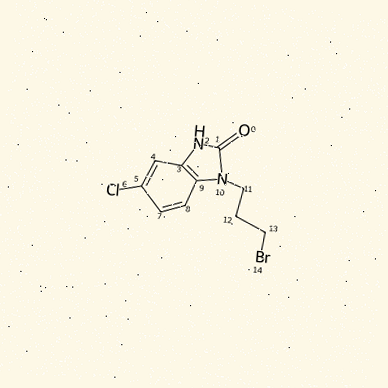 O=c1[nH]c2cc(Cl)ccc2n1CCCBr